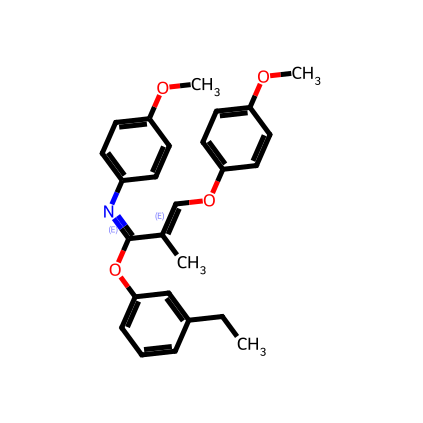 CCc1cccc(OC(=N/c2ccc(OC)cc2)/C(C)=C/Oc2ccc(OC)cc2)c1